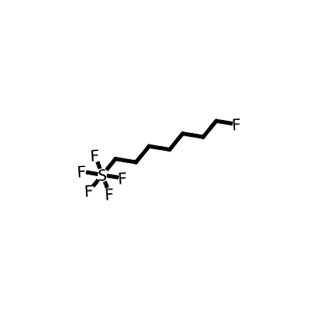 FCCCCCCCS(F)(F)(F)(F)F